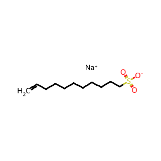 C=CCCCCCCCCCS(=O)(=O)[O-].[Na+]